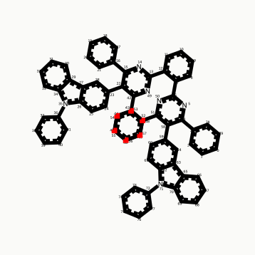 c1ccc(-c2nc(-c3ccccc3-c3nc(-c4ccccc4)c(-c4ccc5c(c4)c4ccccc4n5-c4ccccc4)c(-c4ccccc4)n3)nc(-c3ccccc3)c2-c2ccc3c(c2)c2ccccc2n3-c2ccccc2)cc1